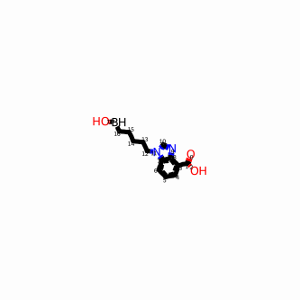 O=C(O)c1cccc2c1ncn2CCCCCBO